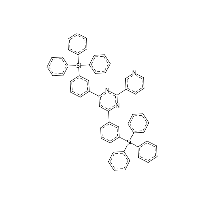 c1ccc([Si](c2ccccc2)(c2ccccc2)c2cccc(-c3cc(-c4cccc([Si](c5ccccc5)(c5ccccc5)c5ccccc5)c4)nc(-c4cccnc4)n3)c2)cc1